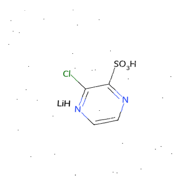 O=S(=O)(O)c1nccnc1Cl.[LiH]